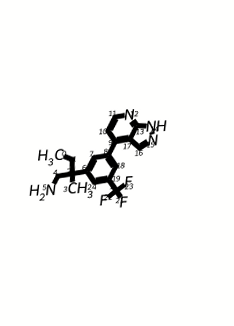 CCC(C)(CN)c1cc(-c2ccnc3[nH]ncc23)cc(C(F)(F)F)c1